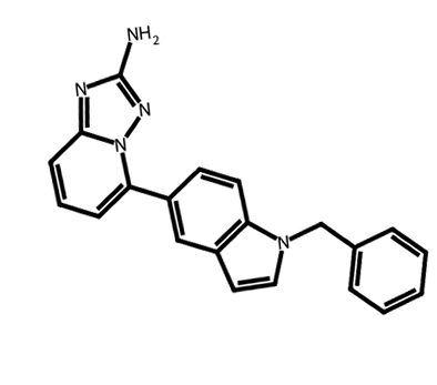 Nc1nc2cccc(-c3ccc4c(ccn4Cc4ccccc4)c3)n2n1